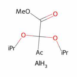 COC(=O)C(OC(C)C)(OC(C)C)C(C)=O.[AlH3]